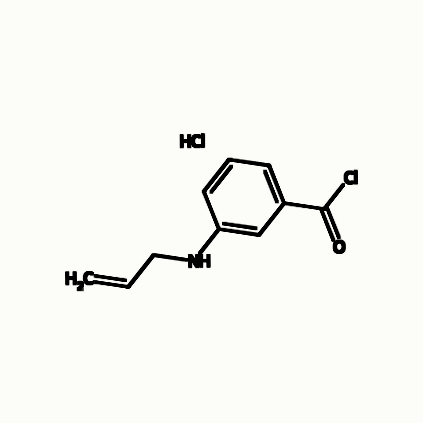 C=CCNc1cccc(C(=O)Cl)c1.Cl